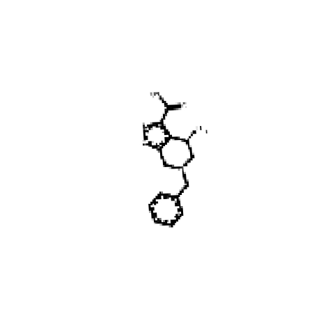 C[C@H]1CN(Cc2ccccc2)Cc2onc(C(=O)N=O)c21